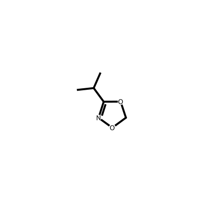 CC(C)C1=NOCO1